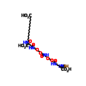 O=C(O)CCCCCCCCCCCCCCCCC(=O)N[C@@H](CCC(=O)NCCOCCOCC(=O)NCCOCCOCC(=O)NCCCC[C@H](NS)C(=O)O)C(=O)O